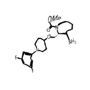 COC(=O)N1CCCC(N)[C@@H]1COC1CCN(c2cc(F)cc(F)c2)CC1